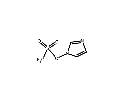 O=S(=O)(On1ccnc1)C(F)(F)F